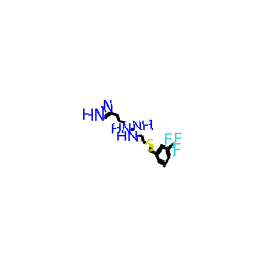 N=C(NCCCc1c[nH]cn1)NCCSCc1cccc(C(F)(F)F)c1